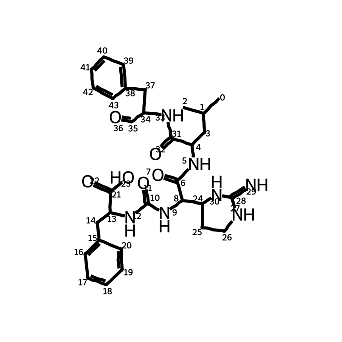 CC(C)CC(NC(=O)C(NC(=O)NC(Cc1ccccc1)C(=O)O)C1CCNC(=N)N1)C(=O)NC(C=O)Cc1ccccc1